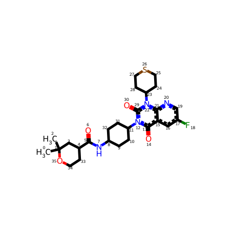 CC1(C)CC(C(=O)NC2CCC(n3c(=O)c4cc(F)cnc4n(C4CCSCC4)c3=O)CC2)CCO1